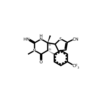 CN1C(=N)N[C@](C)(C2CC=C(C#N)S2)[C@H](c2ccc(C(F)(F)F)cc2)C1=O